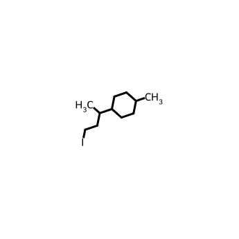 CC1CCC(C(C)CCI)CC1